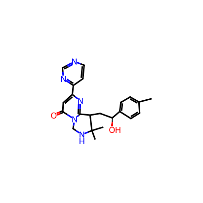 Cc1ccc([C@@H](O)CC2c3nc(-c4ccncn4)cc(=O)n3CNC2(C)C)cc1